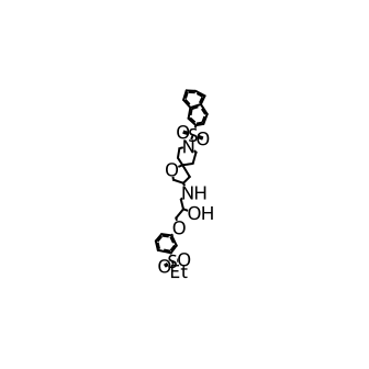 CCS(=O)(=O)c1cccc(OCC(O)CNC2COC3(CCN(S(=O)(=O)c4ccc5ccccc5c4)CC3)C2)c1